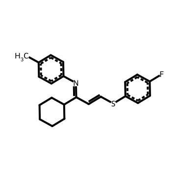 Cc1ccc(/N=C(/C=C/Sc2ccc(F)cc2)C2CCCCC2)cc1